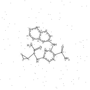 NC(=O)c1ncc(NC(C(N)=O)C2CC2)nc1Nc1ccc2ncccc2c1